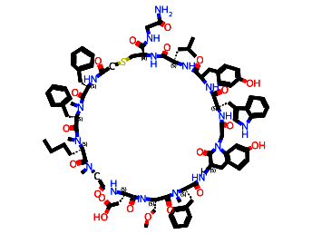 CCCC[C@H]1C(=O)N(C)CC(=O)N[C@@H](CC(=O)O)C(=O)N[C@@H](COC)C(=O)N(C)[C@@H](Cc2ccccc2)C(=O)N[C@H]2Cc3ccc(O)cc3N(CC(=O)N[C@@H](Cc3c[nH]c4ccccc34)C(=O)NC(Cc3ccc(O)cc3)C(=O)N[C@@H](CC(C)C)C(=O)N[C@H](C(=O)NCC(N)=O)CSCC(=O)N[C@@H](Cc3ccccc3)C(=O)N(C)[C@@H](Cc3ccccc3)C(=O)N1C)C2=O